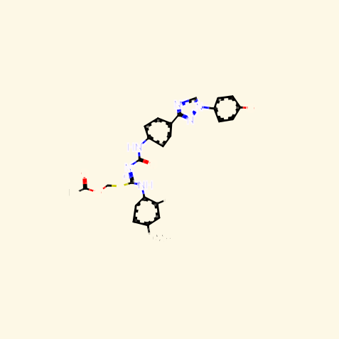 COc1ccc(N/C(=N\C(=O)Nc2ccc(-c3ncn(-c4ccc(OC(F)(F)F)cc4)n3)cc2)SCOC(=O)C(C)C)c(C)c1